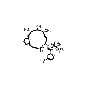 C=C1C[C@H](C)C[C@@H]2CC=C[C@@H](C/C=C\C(=O)O[C@H](C(/C=C/[C@@H]3CC(C)=CCO3)O[Si](C)(C)C(C)(C)C)C/C=C/[C@@H](C)C1)O2